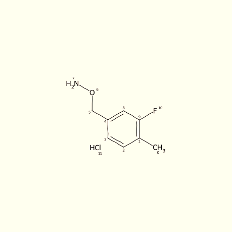 Cc1ccc(CON)cc1F.Cl